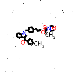 Cc1ccc(C(=O)c2cn(Cc3ccc(CC=CO[C@H](C)C(=O)N4CCOCC4)cc3)c3ccccc23)cc1